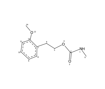 CNC(=O)OCCc1ccccc1OC